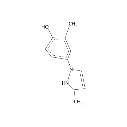 Cc1cc(N2C=CC(C)N2)ccc1O